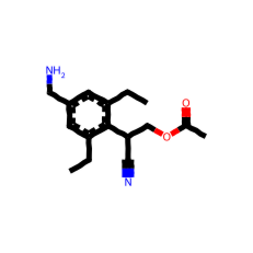 CCc1cc(CN)cc(CC)c1C(C#N)COC(C)=O